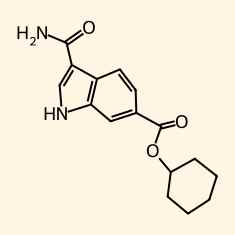 NC(=O)c1c[nH]c2cc(C(=O)OC3CCCCC3)ccc12